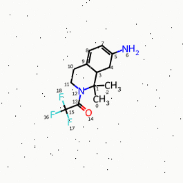 CC1(C)C2CC(N)=CC=C2CCN1C(=O)C(F)(F)F